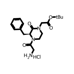 CC(C)(C)OC(=O)CN1CCN(C(=O)CN)[C@@H](Cc2ccccc2)C1=O.Cl